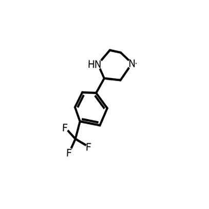 FC(F)(F)c1ccc(C2C[N]CCN2)cc1